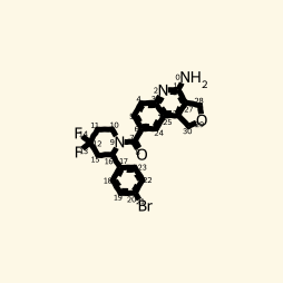 Nc1nc2ccc(C(=O)N3CCC(F)(F)CC3c3ccc(Br)cc3)cc2c2c1COC2